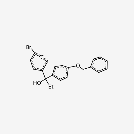 CCC(O)(c1ccc(Br)cc1)c1ccc(OCc2ccccc2)cc1